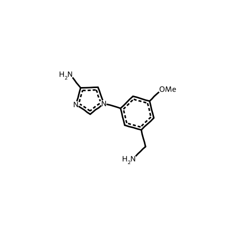 COc1cc(CN)cc(-n2cnc(N)c2)c1